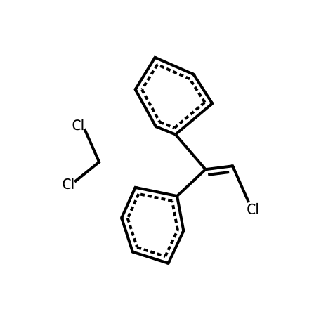 ClC=C(c1ccccc1)c1ccccc1.ClCCl